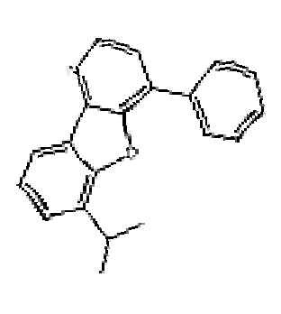 CC(C)c1cccc2c1oc1c(-c3ccccc3)ccnc12